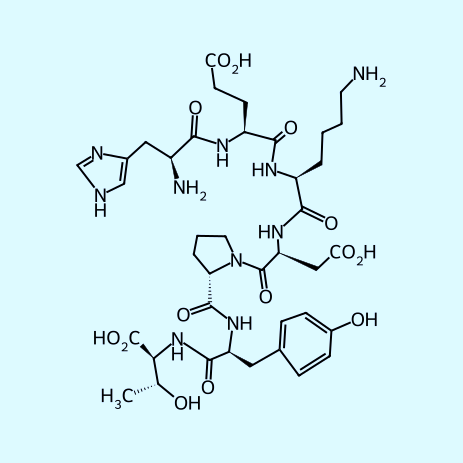 C[C@@H](O)[C@H](NC(=O)[C@H](Cc1ccc(O)cc1)NC(=O)[C@@H]1CCCN1C(=O)[C@H](CC(=O)O)NC(=O)[C@H](CCCCN)NC(=O)[C@H](CCC(=O)O)NC(=O)[C@@H](N)Cc1c[nH]cn1)C(=O)O